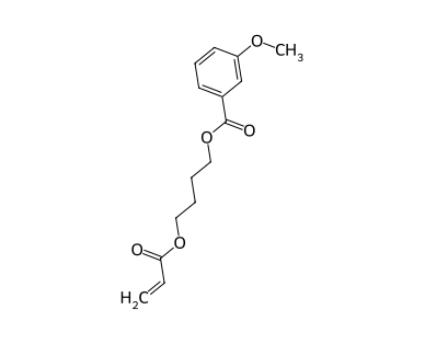 C=CC(=O)OCCCCOC(=O)c1cccc(OC)c1